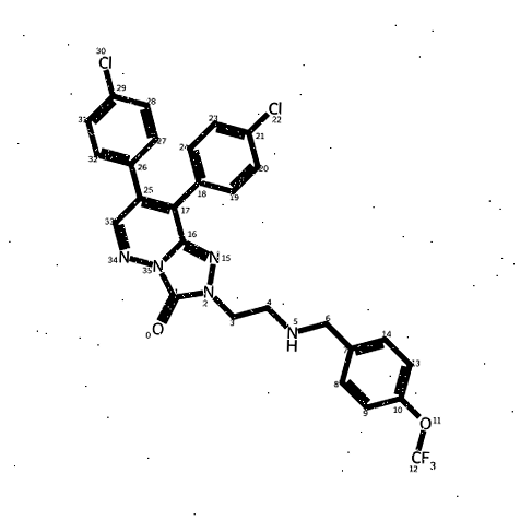 O=c1n(CCNCc2ccc(OC(F)(F)F)cc2)nc2c(-c3ccc(Cl)cc3)c(-c3ccc(Cl)cc3)cnn12